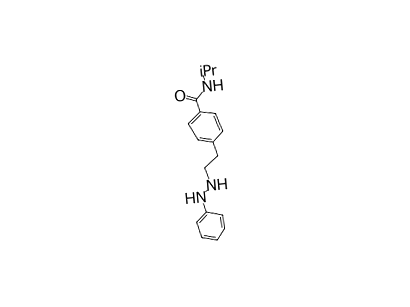 CC(C)NC(=O)c1ccc(CCNNc2ccccc2)cc1